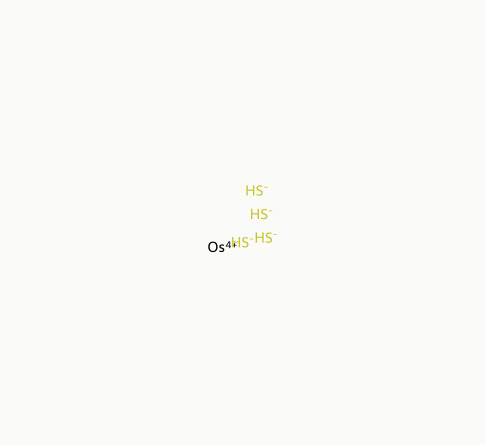 [Os+4].[SH-].[SH-].[SH-].[SH-]